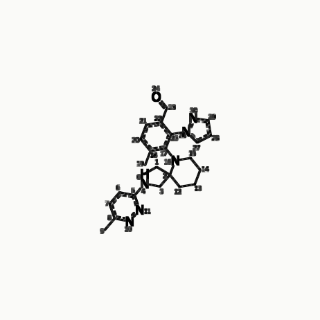 CCC1(CNc2ccc(C)nn2)CCCCN1c1c(C)ccc(C=O)c1-n1cccn1